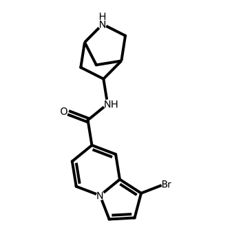 O=C(NC1CC2CC1CN2)c1ccn2ccc(Br)c2c1